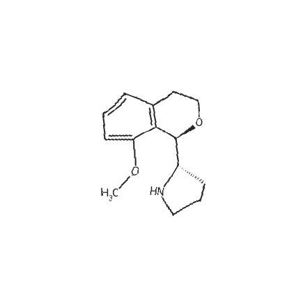 COc1cccc2c1[C@H]([C@@H]1CCCN1)OCC2